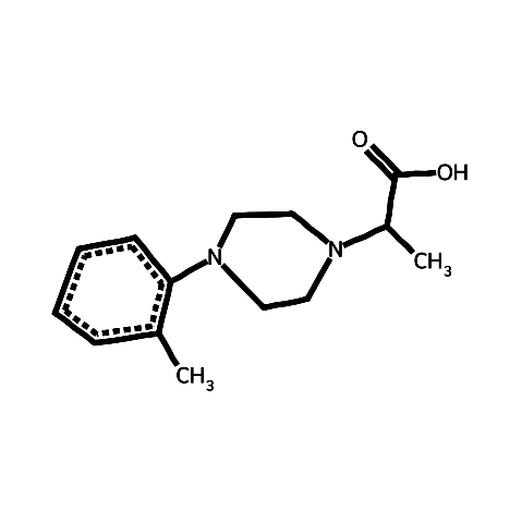 Cc1ccccc1N1CCN(C(C)C(=O)O)CC1